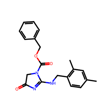 Cc1ccc(CNC2=NC(=O)CN2C(=O)OCc2ccccc2)c(C)c1